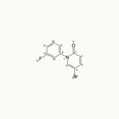 O=c1ccc(Br)cn1-c1cccc(F)c1